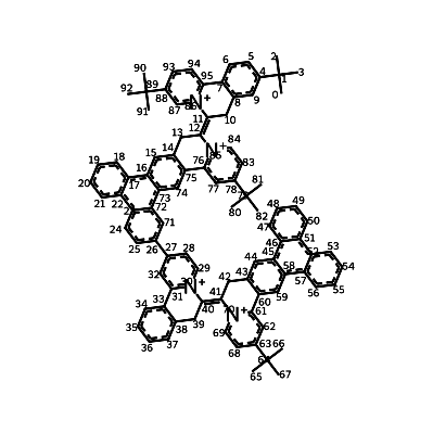 CC(C)(C)c1ccc2c(c1)C/C(=C1/Cc3cc4c5ccccc5c5ccc(-c6cc[n+]7c(c6)-c6ccccc6C/C7=C6/Cc7cc8c9ccccc9c9ccccc9c8cc7-c7cc(C(C)(C)C)cc[n+]76)cc5c4cc3-c3cc(C(C)(C)C)cc[n+]31)[n+]1cc(C(C)(C)C)ccc1-2